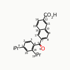 CC(C)c1ccc(C(=O)c2ccc3cc(C(=O)O)ccc3c2)c(C(C)C)c1